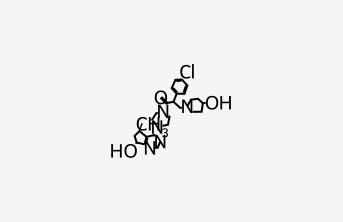 C[C@@H]1C[C@@H](O)c2ncnc(N3CCN(C(=O)C(CN4CCC(O)CC4)c4ccc(Cl)cc4)CC3)c21